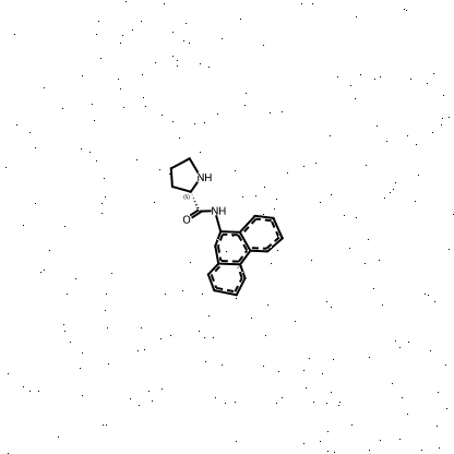 O=C(Nc1cc2ccccc2c2ccccc12)[C@@H]1CCCN1